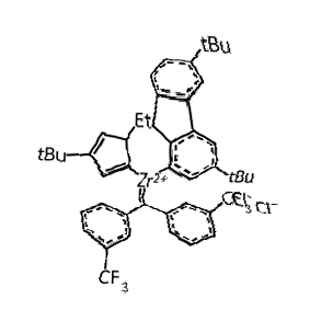 CCC1C=C(C(C)(C)C)C=[C]1[Zr+2](=[C](c1cccc(C(F)(F)F)c1)c1cccc(C(F)(F)F)c1)[c]1cc(C(C)(C)C)cc2c1Cc1ccc(C(C)(C)C)cc1-2.[Cl-].[Cl-]